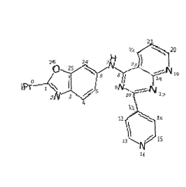 CC(C)c1nc2ccc(Nc3nc(-c4ccncc4)nc4ncccc34)cc2o1